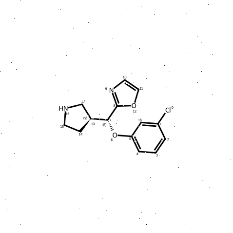 Clc1cccc(O[C@@H](c2ncco2)[C@H]2CCNC2)c1